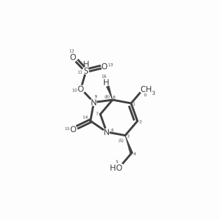 CC1=C[C@@H](CO)N2C[C@@H]1N(O[SH](=O)=O)C2=O